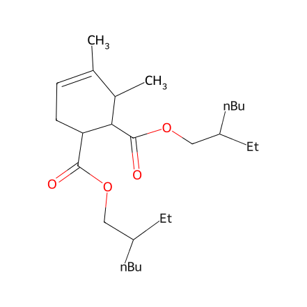 CCCCC(CC)COC(=O)C1CC=C(C)C(C)C1C(=O)OCC(CC)CCCC